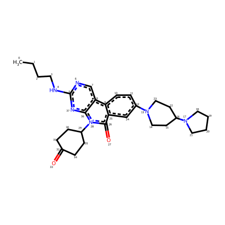 CCCCNc1ncc2c3ccc(N4CCC(N5CCCC5)CC4)cc3c(=O)n(C3CCC(=O)CC3)c2n1